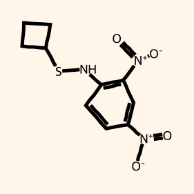 O=[N+]([O-])c1ccc(NSC2CCC2)c([N+](=O)[O-])c1